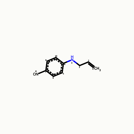 C=CCNc1ccc(N=O)cc1